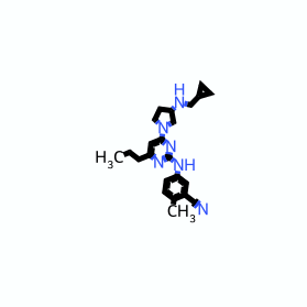 CCCc1cc(N2CCC(NCC3CC3)C2)nc(Nc2ccc(C)c(C#N)c2)n1